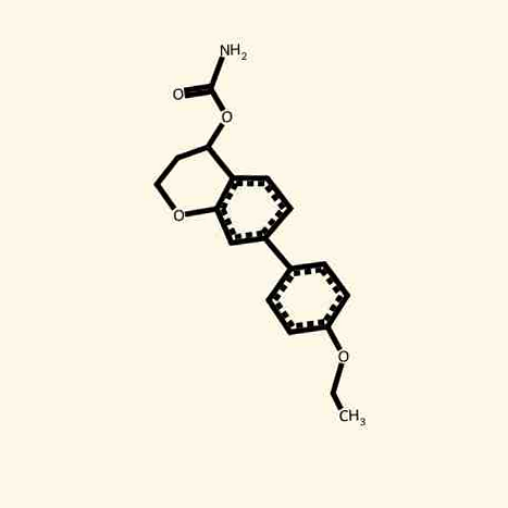 CCOc1ccc(-c2ccc3c(c2)OCCC3OC(N)=O)cc1